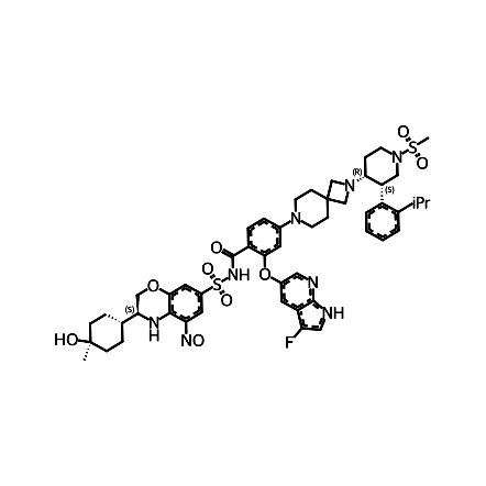 CC(C)c1ccccc1[C@H]1CN(S(C)(=O)=O)CC[C@H]1N1CC2(CCN(c3ccc(C(=O)NS(=O)(=O)c4cc(N=O)c5c(c4)OC[C@H]([C@H]4CC[C@](C)(O)CC4)N5)c(Oc4cnc5[nH]cc(F)c5c4)c3)CC2)C1